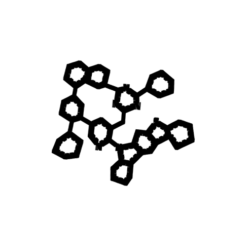 c1ccc(-c2ccc(-c3ccccc3)c(-c3cnc(-n4c5ccccc5c5cc6c(cc54)sc4ccccc46)c(Cc4nc(-c5ccccc5)nc(-c5ccccc5)n4)c3)c2)cc1